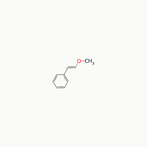 COC=[C]c1ccccc1